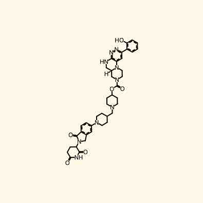 O=C1CCC(N2Cc3cc(N4CCC(CN5CCC(OC(=O)N6CCN7c8cc(-c9ccccc9O)nnc8NC[C@H]7C6)CC5)CC4)ccc3C2=O)C(=O)N1